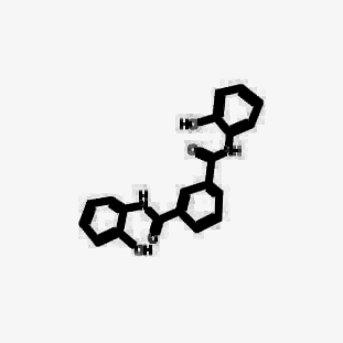 O=C(Nc1ccccc1O)c1cccc(C(=O)Nc2ccccc2O)c1